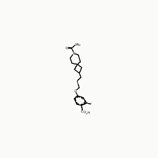 CC(C)(C)C(=O)N1CCC2(CC1)CC(CCCOc1ccc(C(=O)O)c(F)c1)C2